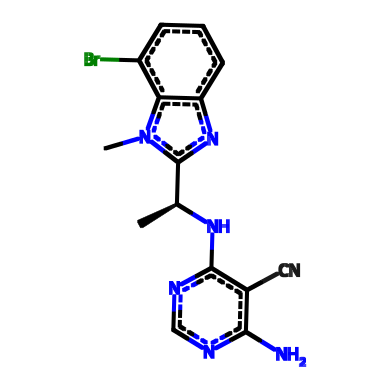 C[C@H](Nc1ncnc(N)c1C#N)c1nc2cccc(Br)c2n1C